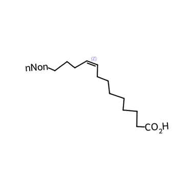 CCCCCCCCCCCC/C=C\CCCCCCCC(=O)O